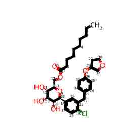 CCCCCCCCCC(=O)OC[C@H]1O[C@@H](c2ccc(Cl)c(Cc3ccc(OC4CCOC4)cc3)c2)[C@H](O)[C@@H](O)[C@@H]1O